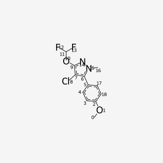 COc1ccc(-c2c(Cl)c(OC(F)F)nn2C)cc1